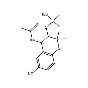 CC(=S)NC1c2cc(C#N)ccc2OC(C)(C)C1O[Si](C)(C)C(C)(C)C